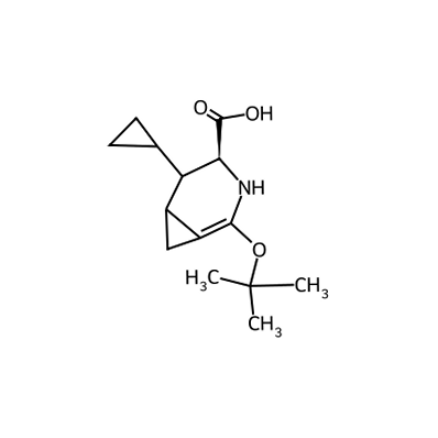 CC(C)(C)OC1=C2CC2C(C2CC2)[C@@H](C(=O)O)N1